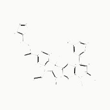 C=CN(C)/C(=C\N)C(O)(c1ccc(C(=O)NCc2cccs2)cc1)c1ccc2c(c1)c(-c1cccc(Cl)c1)cc(=O)n2C